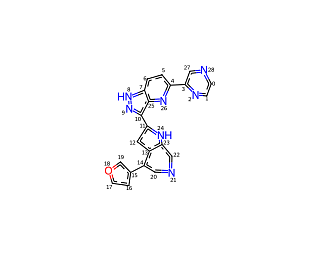 c1cnc(-c2ccc3[nH]nc(-c4cc5c(-c6ccoc6)cncc5[nH]4)c3n2)cn1